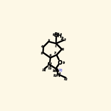 BC1(C)CCCC2C(C1)O/C(=N\C)N2C